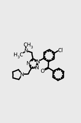 CN(C)Cc1nc(CN2CCCC2)nn1-c1ccc(Cl)cc1C(=O)c1ccccc1